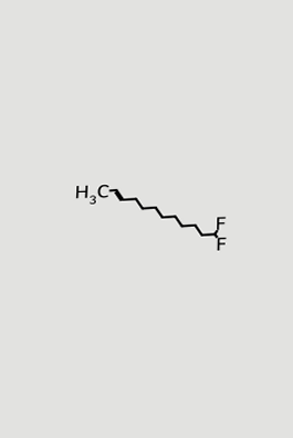 CC=CCCCCCCCCC(F)F